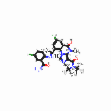 [2H]C(C)(Nc1ccc(F)cc1C(N)=O)c1cc(Cl)cc2c(=O)n(C)c3c(C(=O)N(C([2H])([2H])[2H])C([2H])([2H])[2H])ncn3c12